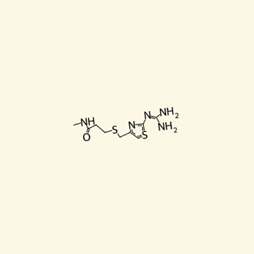 CNC(=O)CCSCc1csc(N=C(N)N)n1